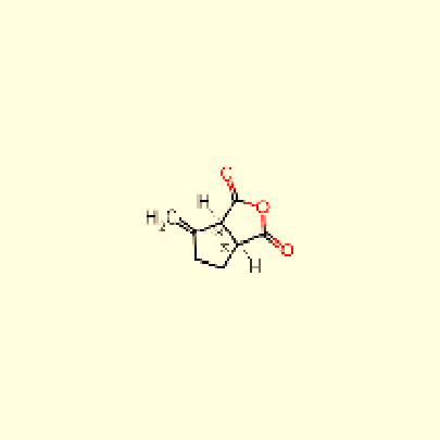 C=C1CC[C@@H]2C(=O)OC(=O)[C@H]12